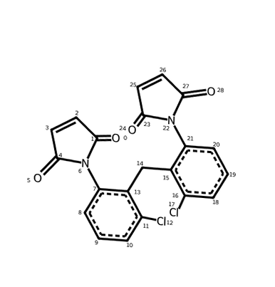 O=C1C=CC(=O)N1c1cccc(Cl)c1Cc1c(Cl)cccc1N1C(=O)C=CC1=O